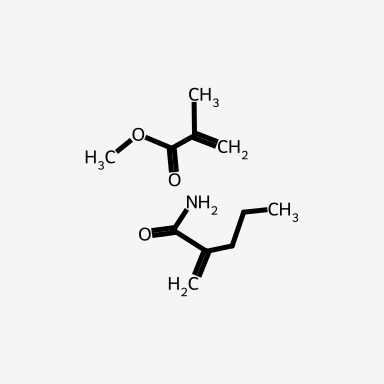 C=C(C)C(=O)OC.C=C(CCC)C(N)=O